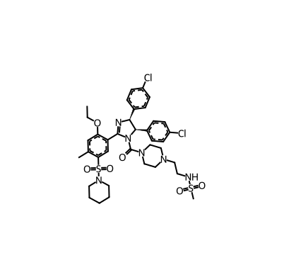 CCOc1cc(C)c(S(=O)(=O)N2CCCCC2)cc1C1=N[C@@H](c2ccc(Cl)cc2)[C@@H](c2ccc(Cl)cc2)N1C(=O)N1CCN(CCNS(C)(=O)=O)CC1